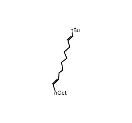 [CH2]CCCC=CCCCCCCC=CCCCCCCCC